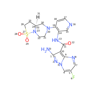 Nc1nn2cc(F)cnc2c1C(=O)Nc1cnccc1N1CCN2[C@@H](CCS2(=O)=O)C1